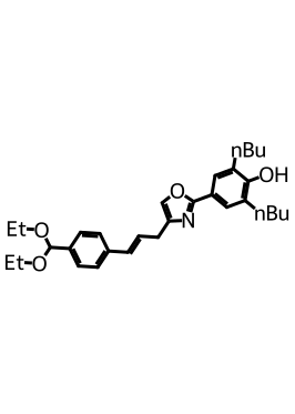 CCCCc1cc(-c2nc(C/C=C/c3ccc(C(OCC)OCC)cc3)co2)cc(CCCC)c1O